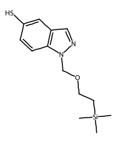 C[Si](C)(C)CCOCn1ncc2cc(S)ccc21